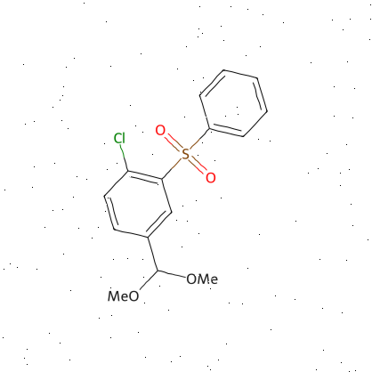 COC(OC)c1ccc(Cl)c(S(=O)(=O)c2ccccc2)c1